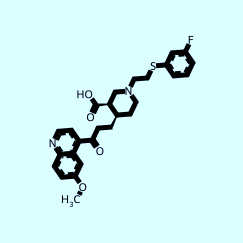 COc1ccc2nccc(C(=O)CC[C@@H]3CCN(CCSc4cccc(F)c4)C[C@@H]3C(=O)O)c2c1